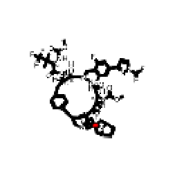 COC(=O)N[C@H](C(=O)N[C@H]1Cc2ccc(cc2)-c2cnc(C3CC4CCC(C3)N4C3COC3)c(c2)C(F)(F)C(C)(C)[C@H](NC(=O)OC)C(=O)NN(Cc2c(F)cc(-c3ccn(C(F)F)n3)cc2F)C[C@@H]1O)C(C)(C)C(F)(F)F